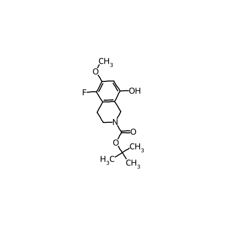 COc1cc(O)c2c(c1F)CCN(C(=O)OC(C)(C)C)C2